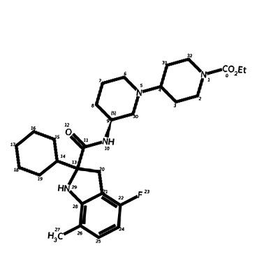 CCOC(=O)N1CCC(N2CCC[C@H](NC(=O)C3(C4CCCCC4)Cc4c(F)ccc(C)c4N3)C2)CC1